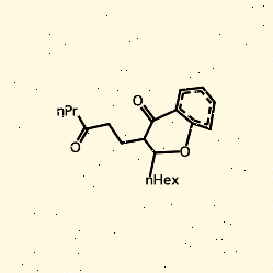 CCCCCCC1Oc2ccccc2C(=O)C1CCC(=O)CCC